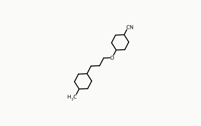 CC1CCC(CCCOC2CCC(C#N)CC2)CC1